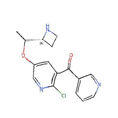 CC(Oc1cnc(Cl)c(C(=O)c2cccnc2)c1)[C@H]1CCN1